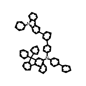 c1ccc(-c2ccc(N(c3ccc(-c4cccc(-c5ccc6c(c5)c5ccccc5n6-c5ccccc5)c4)cc3)c3cc4c(c5ccccc35)-c3ccccc3C4(c3ccccc3)c3ccccc3)cc2)cc1